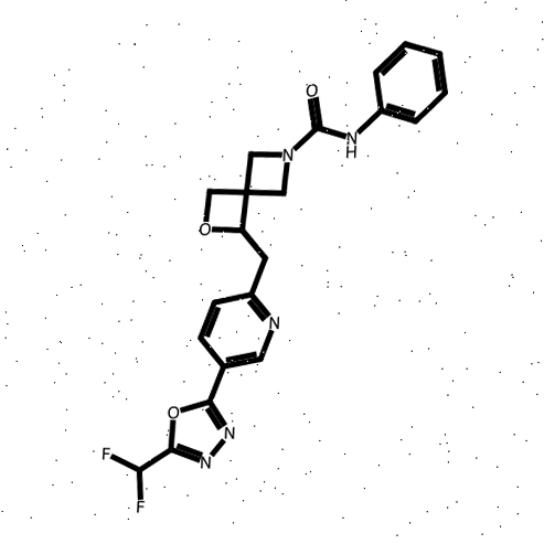 O=C(Nc1ccccc1)N1CC2(COC2Cc2ccc(-c3nnc(C(F)F)o3)cn2)C1